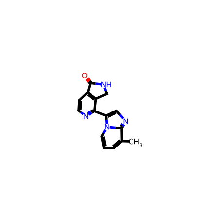 Cc1cccn2c(-c3nccc4c3CNC4=O)cnc12